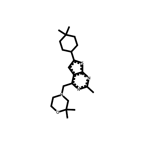 Cc1nc(CN2CCOC(C)(C)C2)c2cc(C3CCC(C)(C)CC3)sc2n1